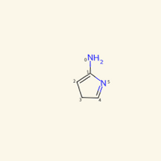 NC1=CCC=N1